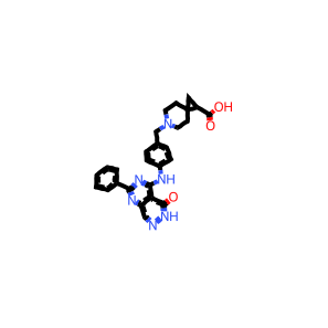 O=C(O)C1CC12CCN(Cc1ccc(Nc3nc(-c4ccccc4)nc4cn[nH]c(=O)c34)cc1)CC2